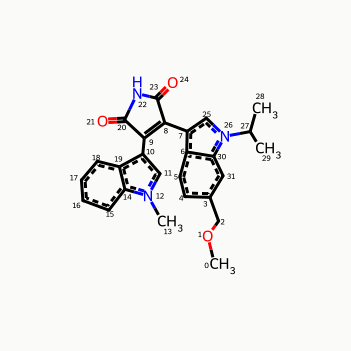 COCc1ccc2c(C3=C(c4cn(C)c5ccccc45)C(=O)NC3=O)cn(C(C)C)c2c1